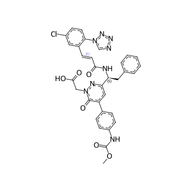 COC(=O)Nc1ccc(-c2cc([C@H](Cc3ccccc3)NC(=O)/C=C/c3cc(Cl)ccc3-n3cnnn3)nn(CC(=O)O)c2=O)cc1